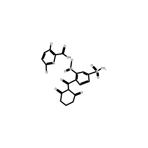 CS(=O)(=O)c1ccc(C(=O)C2C(=O)CCCC2=O)c([N+](=O)[O-])c1.O=C(O)c1nc(Cl)ccc1Cl